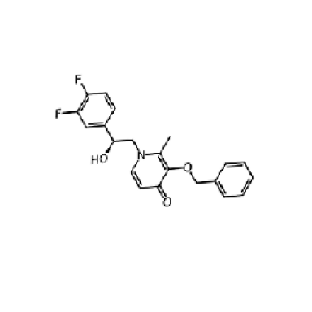 Cc1c(OCc2ccccc2)c(=O)ccn1C[C@@H](O)c1ccc(F)c(F)c1